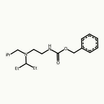 CCC(CC)N(CCNC(=O)OCc1ccccc1)CC(C)C